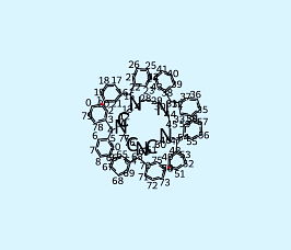 c1ccc(C(c2ccccc2)N2CCN(C(c3ccccc3)c3ccccc3)CCN(C(c3ccccc3)c3ccccc3)CCN(C(c3ccccc3)c3ccccc3)CCN(C(c3ccccc3)c3ccccc3)CC2)cc1